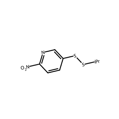 CC(C)SSc1ccc([N+](=O)[O-])nc1